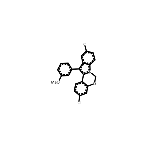 COc1cccc(-c2c3n(c4ccc(Cl)cc24)COc2cc(Cl)ccc2-3)c1